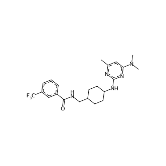 Cc1cc(N(C)C)nc(NC2CCC(CNC(=O)c3cccc(C(F)(F)F)c3)CC2)n1